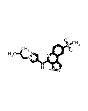 CC(C)Cn1cc(Nc2nc3ccc(S(C)(=O)=O)cc3c3cn[nH]c23)cn1